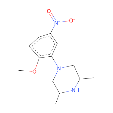 COc1ccc([N+](=O)[O-])cc1N1CC(C)NC(C)C1